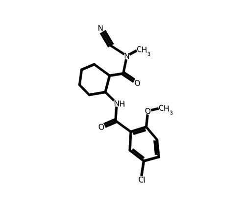 COc1ccc(Cl)cc1C(=O)NC1CCCCC1C(=O)N(C)C#N